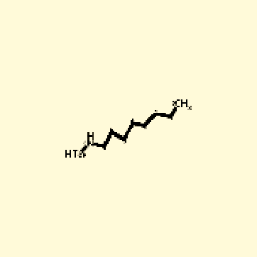 CCCCCCCCN[TeH]